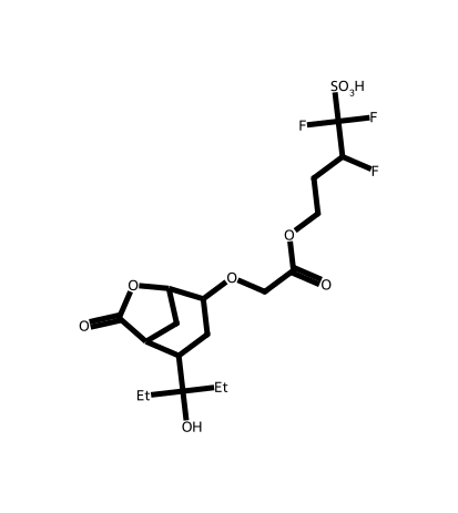 CCC(O)(CC)C1CC(OCC(=O)OCCC(F)C(F)(F)S(=O)(=O)O)C2CC1C(=O)O2